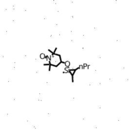 CCCC1C(C)[Si]1(C)OC1CC(C)(C)[N+](=O)C(C)(C)C1